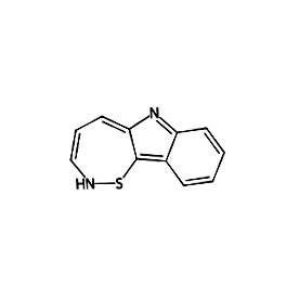 C1=CNSC2=c3ccccc3=NC2=C1